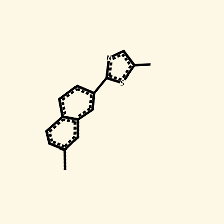 Cc1ccc2ccc(-c3ncc(C)s3)cc2c1